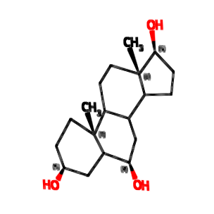 C[C@]12CC[C@H](O)CC1[C@H](O)CC1C2CC[C@@]2(C)C1CC[C@@H]2O